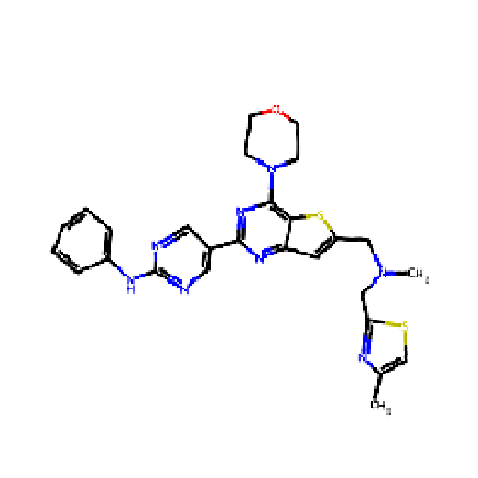 Cc1csc(CN(C)Cc2cc3nc(-c4cnc(Nc5ccccc5)nc4)nc(N4CCOCC4)c3s2)n1